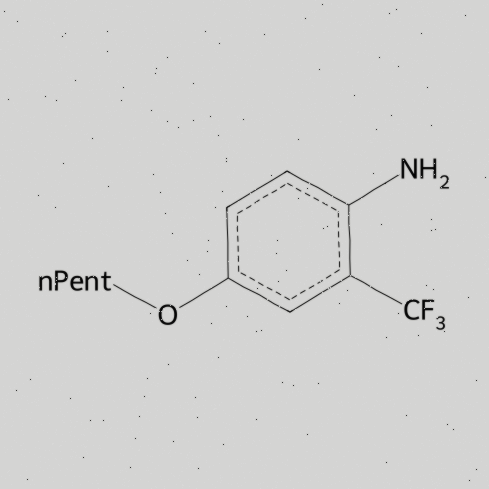 CCCCCOc1ccc(N)c(C(F)(F)F)c1